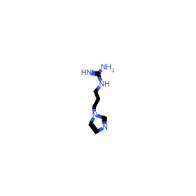 N=C(N)NCCCn1ccnc1